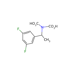 CC(c1cc(F)cc(F)c1)N(C(=O)O)C(=O)O